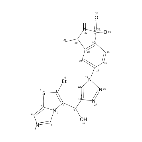 CCc1sc2cncn2c1C(O)c1cn(-c2ccc3c(c2)C(C)NS3(=O)=O)nn1